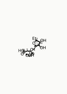 CC[C@@H]1O[C@H](COP(=O)(O)CP(=O)(O)O)C(O)C1O